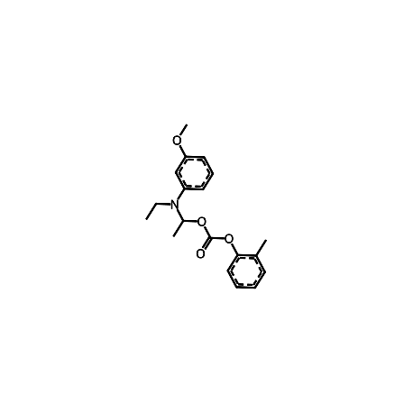 CCN(c1cccc(OC)c1)C(C)OC(=O)Oc1ccccc1C